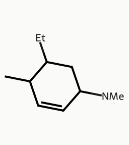 CCC1CC(NC)C=CC1C